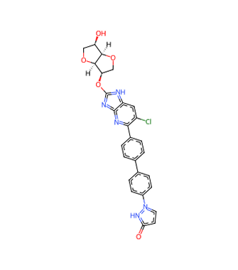 O=c1ccn(-c2ccc(-c3ccc(-c4nc5nc(O[C@@H]6CO[C@H]7[C@@H]6OC[C@H]7O)[nH]c5cc4Cl)cc3)cc2)[nH]1